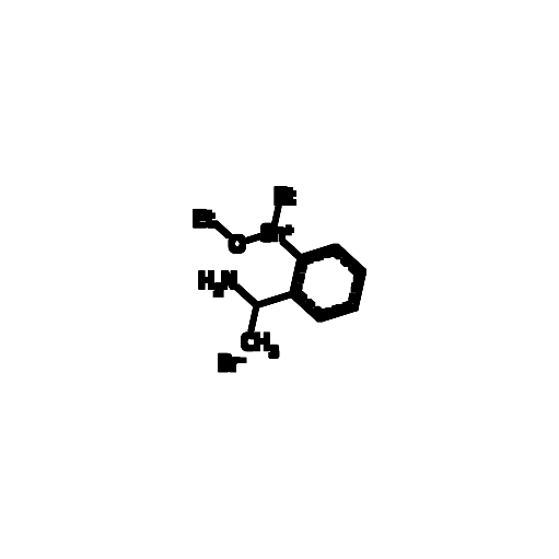 CC[O][Sn+]([CH2]C)[c]1ccccc1C(C)N.[Br-]